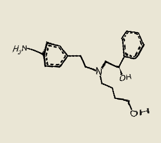 Nc1ccc(CCN(CCCCO)C[C@H](O)c2ccccc2)cc1